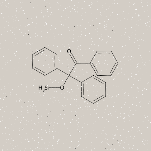 O=C(c1ccccc1)C(O[SiH3])(c1ccccc1)c1ccccc1